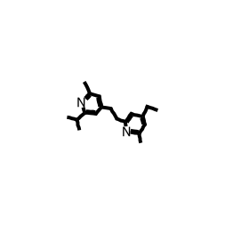 CCc1cc(C)nc(CCc2cc(C)nc(C(C)C)c2)c1